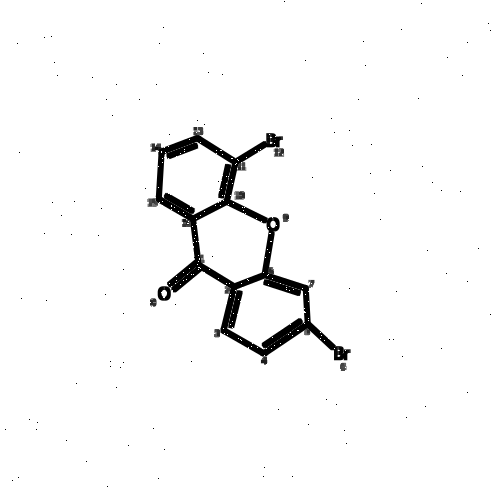 O=c1c2ccc(Br)cc2oc2c(Br)cccc12